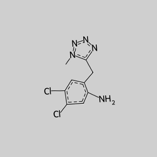 Cn1nnnc1Cc1cc(Cl)c(Cl)cc1N